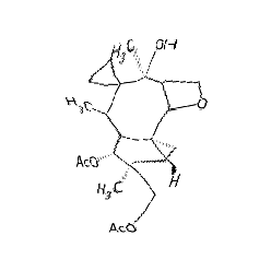 CC(=O)OC[C@@]1(C)[C@H](OC(C)=O)C2C(C)C3(CC3)[C@@](C)(O)C3COC3[C@]23C[C@@H]31